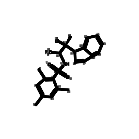 Cc1cc(C)c(S(=O)(=O)NC(C(F)(F)F)[C@](C)(Cl)n2ccc3ccccc32)c(C)c1